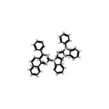 c1ccc(-c2nc(-n3c4ccccc4c4c3nc3n(-c5ccccc5)c5ccccc5n43)nc3c2ccc2ccccc23)cc1